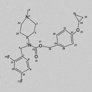 CN1CCC(N(Cc2ccc(F)cc2F)C(=O)OCc2ccc(OC3CC3)cc2)CC1